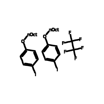 CCCCCCCCOc1ccc(I)cc1.CCCCCCCCOc1ccc(I)cc1.FC(F)(F)C(F)(F)F